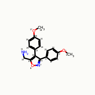 COc1ccc(-c2noc(CN)c2-c2ccc(OC)cc2)cc1